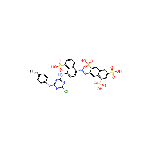 Cc1ccc(Nc2nc(Cl)nc(Nc3ccc(N=Nc4cc5c(S(=O)(=O)O)cc(S(=O)(=O)O)cc5cc4S(=O)(=O)O)c4cccc(S(=O)(=O)O)c34)n2)cc1